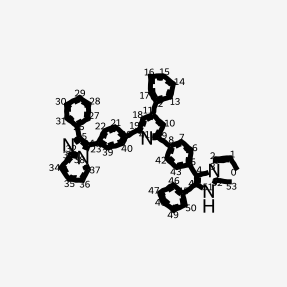 C/C=C\N1C(c2ccc(-c3cc(-c4ccccc4)cc(-c4ccc(-c5c(-c6ccccc6)nc6ccccn56)cc4)n3)cc2)=C(c2ccccc2)NC1C